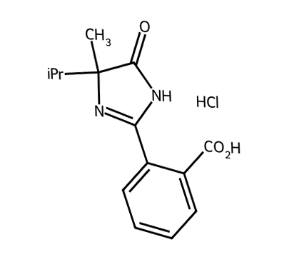 CC(C)C1(C)N=C(c2ccccc2C(=O)O)NC1=O.Cl